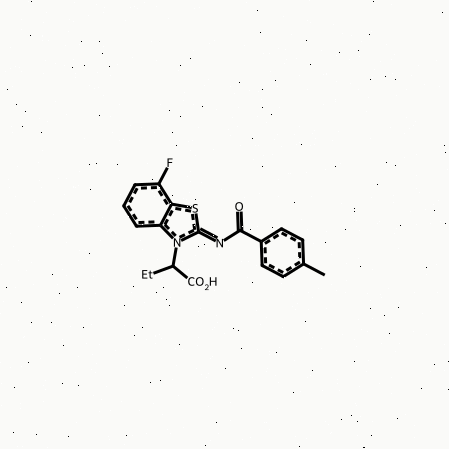 CCC(C(=O)O)n1c(=NC(=O)c2ccc(C)cc2)sc2c(F)cccc21